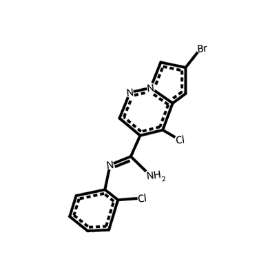 N/C(=N\c1ccccc1Cl)c1cnn2cc(Br)cc2c1Cl